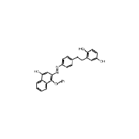 CC(C)Oc1c(N=Nc2ccc(CCc3cc(O)ccc3O)cc2)cc(O)c2ccccc12